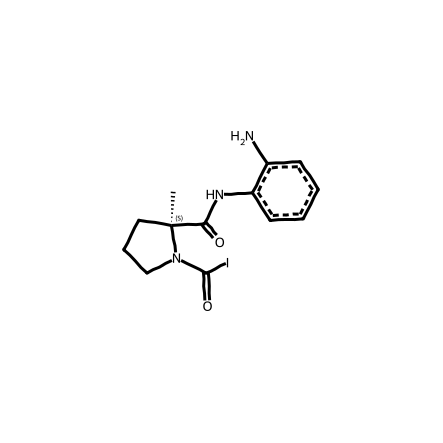 C[C@@]1(C(=O)Nc2ccccc2N)CCCN1C(=O)I